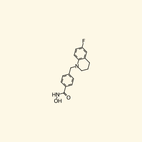 O=C(NO)c1ccc(CN2CCCc3cc(F)ccc32)cc1